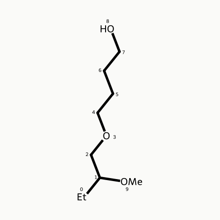 CCC(COCCCCO)OC